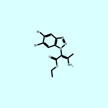 CCOC(=O)/C(=C(/C)N)n1nnc2cc(Br)c(Br)cc21